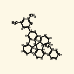 Cc1cc(C)nc(-c2ccc3c(c2)-c2ccccc2C32c3ccccc3-c3c(-c4ccncc4C)cccc32)n1